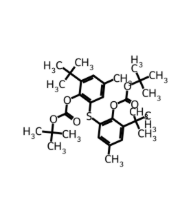 Cc1cc(Sc2cc(C)cc(C(C)(C)C)c2OC(=O)OC(C)(C)C)c(OC(=O)OC(C)(C)C)c(C(C)(C)C)c1